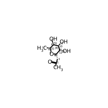 CC(=O)C[C@@H]1O[C@@H](C)[C@@H](O)[C@@H](O)[C@@H]1O